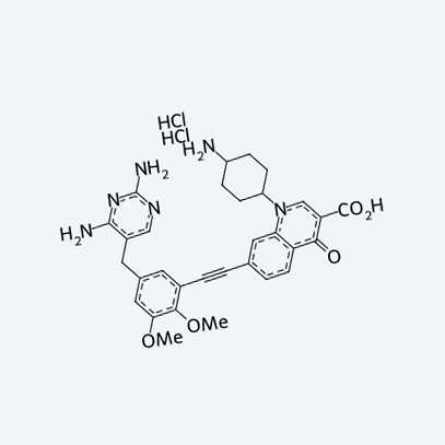 COc1cc(Cc2cnc(N)nc2N)cc(C#Cc2ccc3c(=O)c(C(=O)O)cn(C4CCC(N)CC4)c3c2)c1OC.Cl.Cl